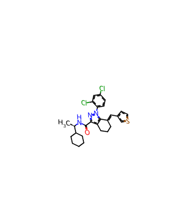 C[C@@H](NC(=O)c1nn(-c2ccc(Cl)cc2Cl)c2c1CCC/C2=C\c1ccsc1)C1CCCCC1